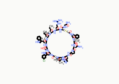 CCCC[C@H]1C(=O)N(C)[C@@H](CCCC)C(=O)N[C@@H](CCCNC(=N)N)C(=O)N[C@H](C(=O)NCC(N)=O)CSCC(=O)N[C@@H](Cc2ccccc2)C(=O)N(C)[C@@H](C)C(=O)N[C@@H](CC(N)=O)C(=O)N2CCC[C@H]2C(=O)N[C@@H](Cc2cnc[nH]2)C(=O)N[C@@H](CC(C)C)C(=O)N(C)CC(=O)N[C@@H](Cc2c[nH]c3ccc(Cl)cc23)C(=O)N[C@@H](CO)C(=O)N[C@@H](CCc2c[nH]c3ccccc23)C(=O)N1C